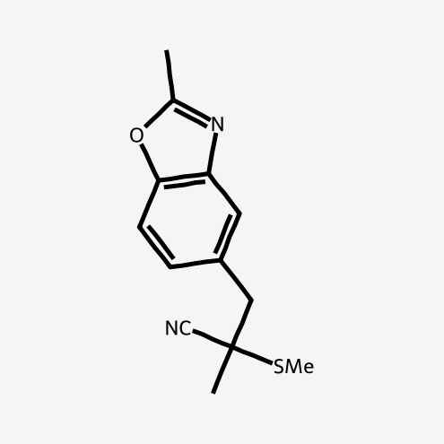 CSC(C)(C#N)Cc1ccc2oc(C)nc2c1